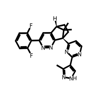 Cc1n[nH]cc1-c1nccc([C@@]23CC[C@@H](c4cc(-c5c(F)cccc5F)nnc42)C3(C)C)n1